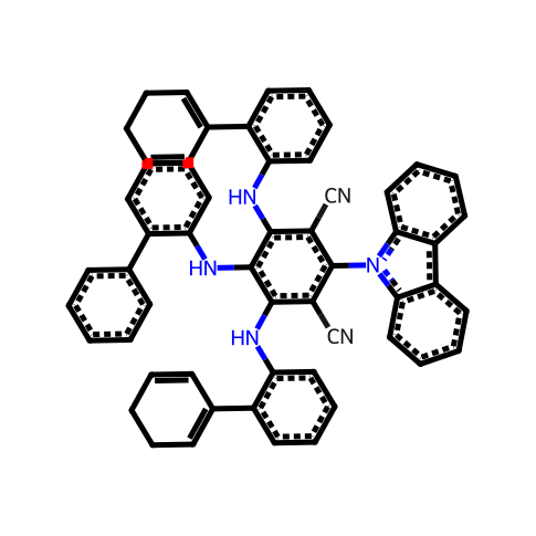 N#Cc1c(Nc2ccccc2C2=CCCC=C2)c(Nc2ccccc2-c2ccccc2)c(Nc2ccccc2C2=CCCC=C2)c(C#N)c1-n1c2ccccc2c2ccccc21